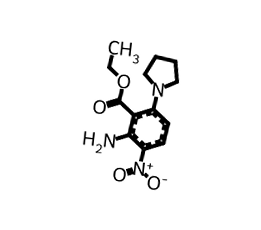 CCOC(=O)c1c(N2CCCC2)ccc([N+](=O)[O-])c1N